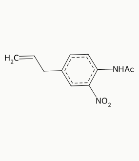 C=CCc1ccc(NC(C)=O)c([N+](=O)[O-])c1